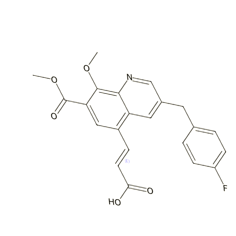 COC(=O)c1cc(/C=C/C(=O)O)c2cc(Cc3ccc(F)cc3)cnc2c1OC